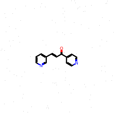 O=C(/C=C/c1cccnc1)c1ccncc1